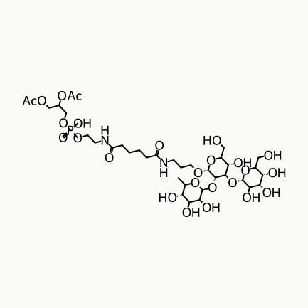 CC(=O)OCC(COP(=O)(O)OCCNC(=O)CCCCC(=O)NCCCO[C@@H]1OC(CO)[C@H](O)C(O[C@@H]2OC(CO)[C@H](O)[C@H](O)C2O)[C@@H]1O[C@@H]1OC(C)[C@@H](O)C(O)[C@@H]1O)OC(C)=O